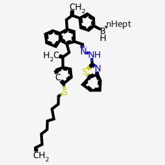 C=CCCCCCCCCSc1ccc(C(=C)Cc2c(/C=N/Nc3nc4ccccc4s3)cc(CC(=C)c3ccc(BCCCCCCC)cc3)c3ccccc23)cc1